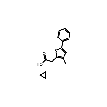 C1CC1.Cc1cc(-c2ccccc2)sc1CC(=O)O